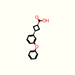 O=C(O)[C@H]1C[C@@H](c2cccc(Oc3ccccc3)c2)C1